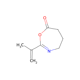 C=C(C)C1=NCCCC(=O)O1